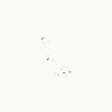 Cc1cnc(N2CCN(C(=O)CCCN3CCNc4c3n[nH]c(=O)c4C)CC2)nc1